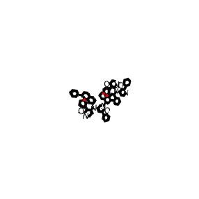 c1ccc(-c2ccc3ccc(N(c4cc5c6ccccc6oc5[n+](-c5cc6c7ccccc7c(N(c7ccnc8c7oc7ccccc78)c7nccc8oc9ccccc9c78)cc6c6ccccc56)c4)c4ccnc5oc6ccccc6c45)cc3c2)cc1